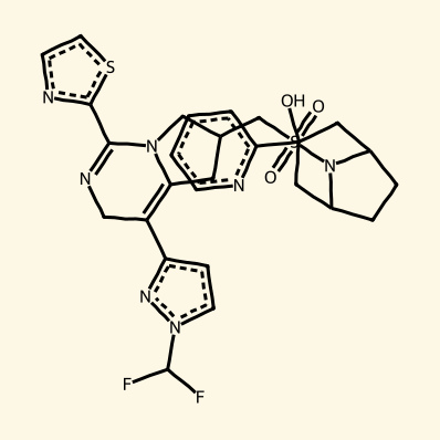 O=S(=O)(CC1CC2=C(c3ccn(C(F)F)n3)CN=C(c3nccs3)N2C1)N1C2CCC1CC(O)(c1ccccn1)C2